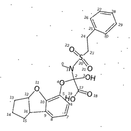 CN(C(O)(Oc1cccc2c1OC1CCCC21)C(=O)O)S(=O)(=O)CCc1ccccc1